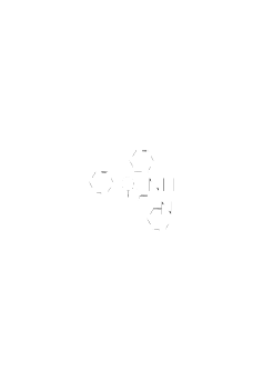 O=C(Nc1ccccc1Oc1ccccc1)c1ccccn1